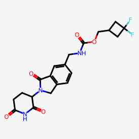 O=C1CCC(N2Cc3ccc(CNC(=O)OCC4CC(F)(F)C4)cc3C2=O)C(=O)N1